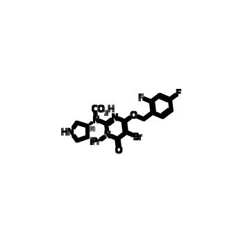 CC(C)n1c(N(C(=O)O)[C@@H]2CCNC2)nc(OCc2ccc(F)cc2F)c(Br)c1=O